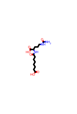 NC(=O)NCCCC(NC(=O)CCCCCCC(=O)O)C(=O)O